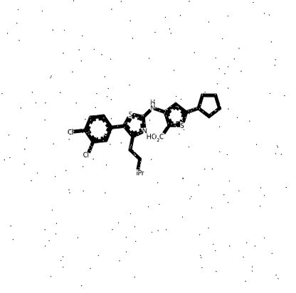 CC(C)CCc1nc(Nc2cc(C3CCCC3)sc2C(=O)O)sc1-c1ccc(Cl)c(Cl)c1